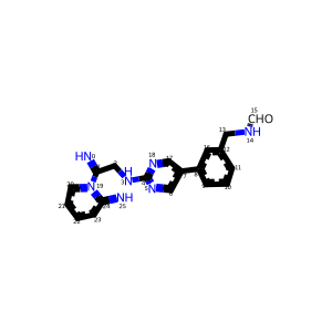 N=C(CNc1ncc(-c2cccc(CNC=O)c2)cn1)n1ccccc1=N